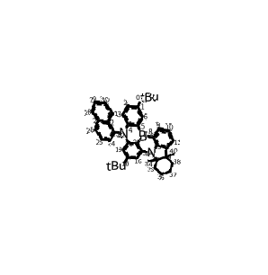 CC(C)(C)c1ccc2c(c1)B1c3cccc4c3N(c3cc(C(C)(C)C)cc(c31)N2c1cccc2ccccc12)C1(C)CCCCC41C